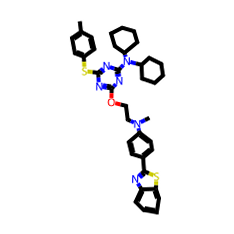 Cc1ccc(Sc2nc(OCCN(C)c3ccc(-c4nc5ccccc5s4)cc3)nc(N(C3CCCCC3)C3CCCCC3)n2)cc1